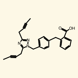 CC#CCc1nc(CC#CC)n(Cc2ccc(Cc3ccccc3C(=O)O)cc2)n1